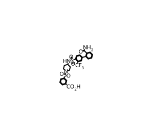 NC(=O)c1ccccc1-c1ccc(S(=O)(=O)NC2CCN(S(=O)(=O)c3cccc(C(=O)O)c3)CC2)c(C(F)(F)F)c1